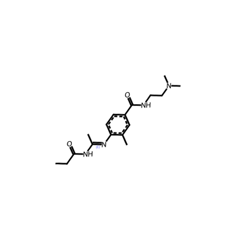 CCC(=O)N/C(C)=N/c1ccc(C(=O)NCCN(C)C)cc1C